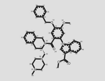 COC(=O)c1cn(-c2cc(OC)c(OCc3ccccc3)cc2C(=O)N2Cc3ccccc3C[C@H]2CN2CCN(C)CC2)c2ccccc12